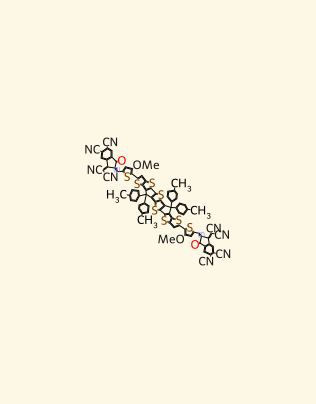 COc1cc(/C=C2\C(=O)c3cc(C#N)c(C#N)cc3C2=C(C#N)C#N)sc1-c1cc2sc3c(c2s1)C(c1ccc(C)cc1)(c1ccc(C)cc1)c1c-3sc2c3c(sc12)-c1sc2cc(-c4sc(/C=C5\C(=O)c6cc(C#N)c(C#N)cc6C5=C(C#N)C#N)cc4OC)sc2c1C3(c1ccc(C)cc1)c1ccc(C)cc1